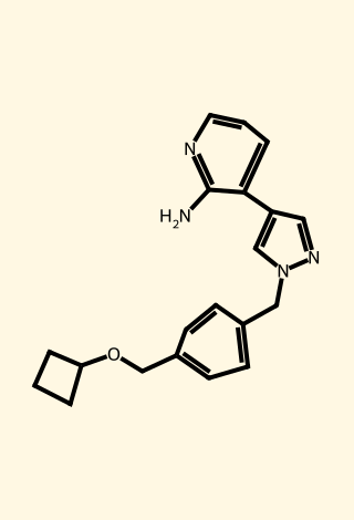 Nc1ncccc1-c1cnn(Cc2ccc(COC3CCC3)cc2)c1